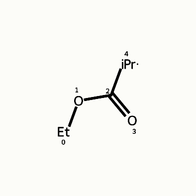 CCOC(=O)[C](C)C